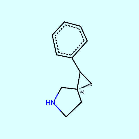 c1ccc(C2C[C@@]23CCNC3)cc1